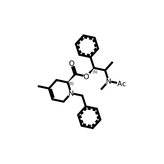 CC(=O)N(C)C(C)[C@@H](OC(=O)[C@@H]1CC(C)=CCN1Cc1ccccc1)c1ccccc1